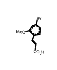 COc1cc(C(C)C)ccc1/C=C/C(=O)O